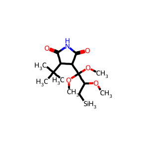 COC(C[SiH3])C(OC)(OC)C1C(=O)NC(=O)C1C(C)(C)C